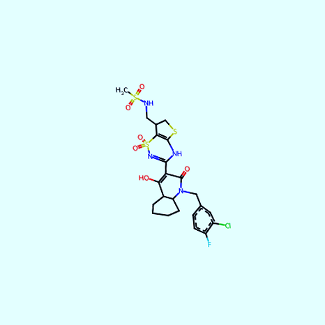 CS(=O)(=O)NCC1CSC2=C1S(=O)(=O)N=C(C1=C(O)C3CCCCC3N(Cc3ccc(F)c(Cl)c3)C1=O)N2